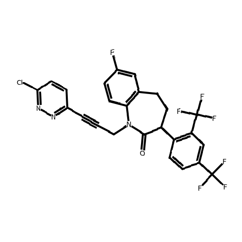 O=C1C(c2ccc(C(F)(F)F)cc2C(F)(F)F)CCc2cc(F)ccc2N1CC#Cc1ccc(Cl)nn1